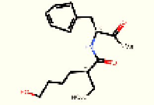 CNC(=O)[C@H](Cc1ccccc1)NC(=O)[C@H](CCCCO)CC(=O)O